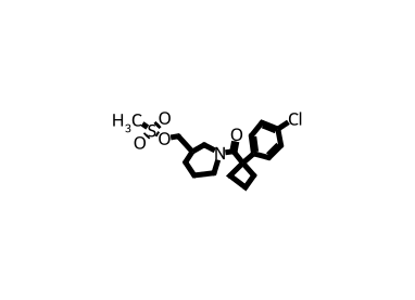 CS(=O)(=O)OCC1CCCN(C(=O)C2(c3ccc(Cl)cc3)CCC2)C1